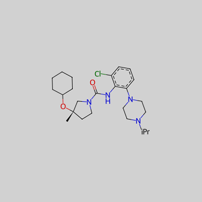 CC(C)N1CCN(c2cccc(Cl)c2NC(=O)N2CC[C@](C)(OC3CCCCC3)C2)CC1